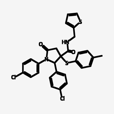 Cc1ccc(SC2(C(=O)NCc3cccs3)CC(=O)N(c3ccc(Cl)cc3)C2c2ccc(Cl)cc2)cc1